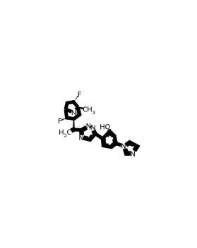 C=C(c1ncc(-c2ccc(-n3ccnc3)cc2O)nn1)[C@@H]1C[C@]2(C)NC(C[C@@H]2F)[C@H]1F